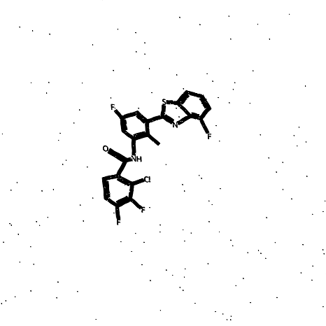 Cc1c(NC(=O)c2ccc(F)c(F)c2Cl)cc(F)cc1-c1nc2c(F)cccc2s1